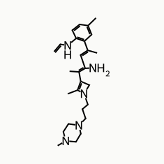 C=CNc1ccc(C)cc1/C(C)=C/C(N)=C(\C)C1=C(C)N(CCCN2CCN(C)CC2)C1